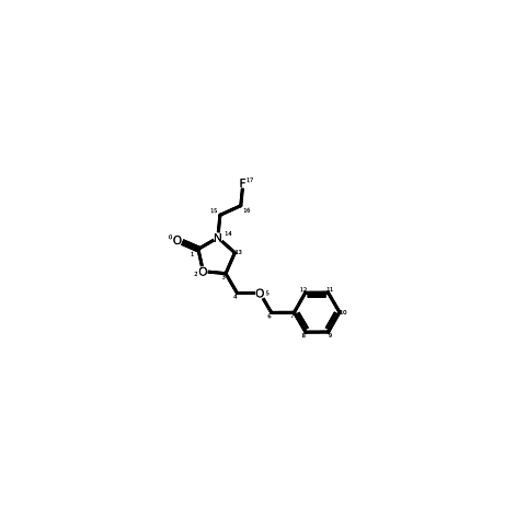 O=C1OC(COCc2ccccc2)CN1CCF